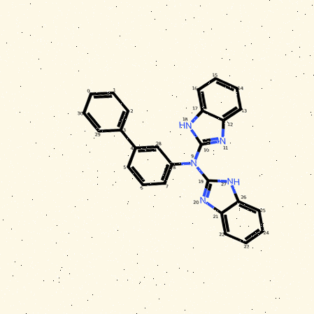 c1ccc(-c2cccc(N(c3nc4ccccc4[nH]3)c3nc4ccccc4[nH]3)c2)cc1